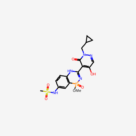 COP1(=O)N=C(c2c(O)cnn(CC3CC3)c2=O)Nc2ccc(NS(C)(=O)=O)cc21